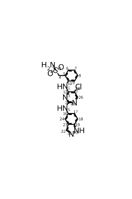 NS(=O)(=O)Cc1ccccc1Nc1nc(Nc2ccc3[nH]ncc3c2)ncc1Cl